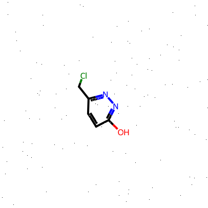 Oc1ccc(CCl)nn1